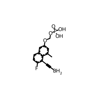 BC#Cc1c(F)ccc2cc(OCOP(=O)(O)O)cc(C)c12